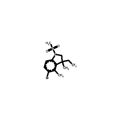 Cc1c(Br)ccc2c1C(C)(CC(F)(F)F)CN2S(C)(=O)=O